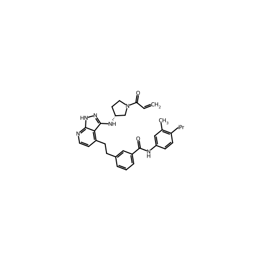 C=CC(=O)N1CC[C@@H](Nc2n[nH]c3nccc(CCc4cccc(C(=O)Nc5ccc(C(C)C)c(C)c5)c4)c23)C1